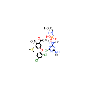 CCNc1nc(Cl)nc(NC(C)C)n1.COC(=O)c1cc(Oc2ccc(Cl)cc2Cl)ccc1[N+](=O)[O-].C[S+](C)C.O=C(O)CNCP(=O)([O-])O